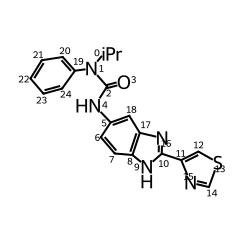 CC(C)N(C(=O)Nc1ccc2[nH]c(-c3cscn3)nc2c1)c1ccccc1